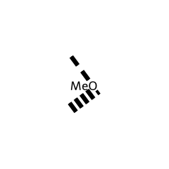 C=C.C=C.C=C.C=C.C=C.C=C.COC